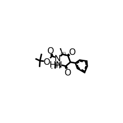 [CH2]NC(=O)C(C(=O)[C@H](C)NC(=O)OC(C)(C)C)c1ccccc1